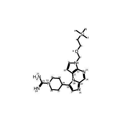 CS(C)(C)CCOCn1ccc2c1ncc1ncc(C3CCN(C(=N)N)CC3)n12